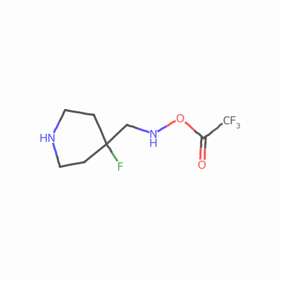 O=C(ONCC1(F)CCNCC1)C(F)(F)F